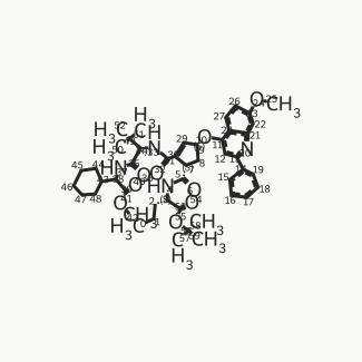 CCC[C@H](NC(=O)[C@H]1C[C@H](Oc2cc(-c3ccccc3)nc3cc(OC)ccc23)C=C1C(=O)N[C@@H](C(=O)NC(C(=O)OC)C1CCCCC1)C(C)(C)C)C(=O)OC(C)(C)C